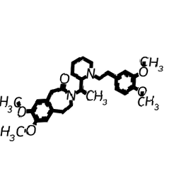 COc1ccc(CCN2CCCCC2C(C)N2CCc3cc(OC)c(OC)cc3CC2=O)cc1OC